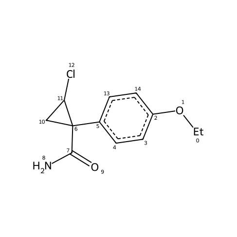 CCOc1ccc(C2(C(N)=O)CC2Cl)cc1